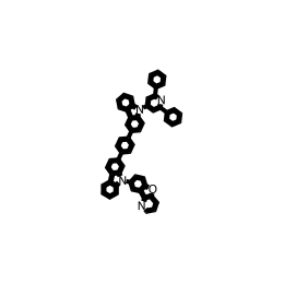 c1ccc(-c2cc(-n3c4ccccc4c4cc(-c5ccc(-c6ccc7c8ccccc8n(-c8ccc9oc%10cccnc%10c9c8)c7c6)cc5)ccc43)cc(-c3ccccc3)n2)cc1